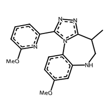 COc1ccc2c(c1)NCC(C)c1nnc(-c3cccc(OC)n3)n1-2